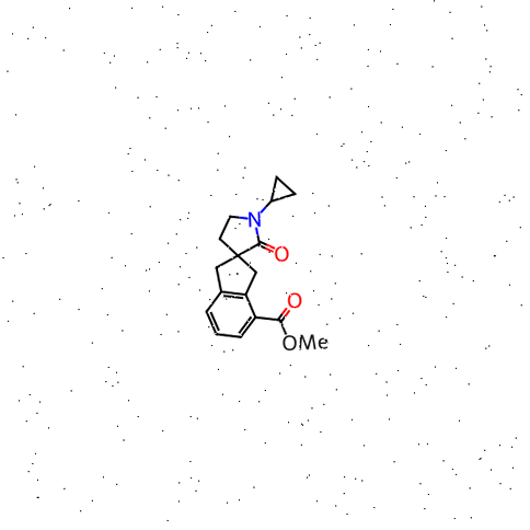 COC(=O)c1cccc2c1CC1(CCN(C3CC3)C1=O)C2